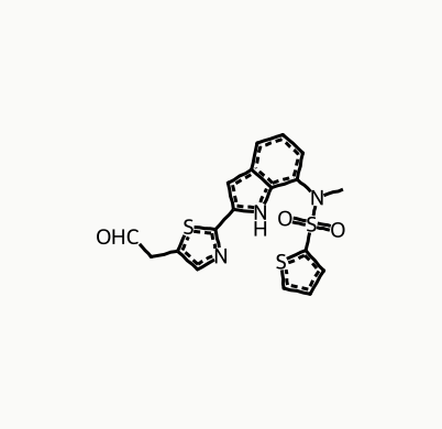 CN(c1cccc2cc(-c3ncc(CC=O)s3)[nH]c12)S(=O)(=O)c1cccs1